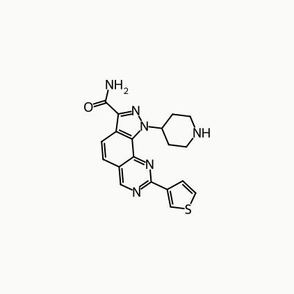 NC(=O)c1nn(C2CCNCC2)c2c1ccc1cnc(-c3ccsc3)nc12